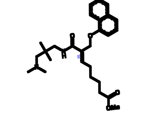 COC(=O)CCCC/C=C(\COc1cccc2ccccc12)C(=O)NCC(C)(C)CN(C)C